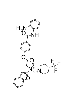 Nc1ccccc1NC(=O)c1ccc(OCC[N+](C=O)(CN2CCC(C(F)(F)F)CC2)c2cc3ccccc3o2)cc1